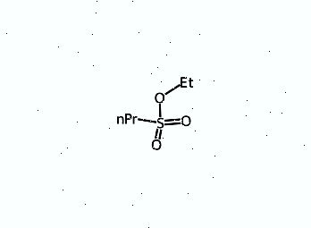 CCCS(=O)(=O)OCC